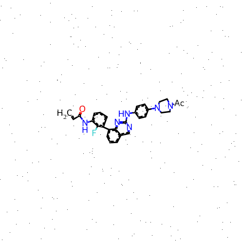 C=CC(=O)Nc1cccc(-c2cccc3cnc(Nc4ccc(N5CCN(C(C)=O)CC5)cc4)nc23)c1F